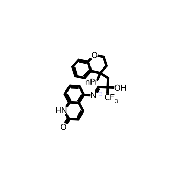 CCCC1(CC(O)(/C=N/c2cccc3[nH]c(=O)ccc23)C(F)(F)F)CCOc2ccccc21